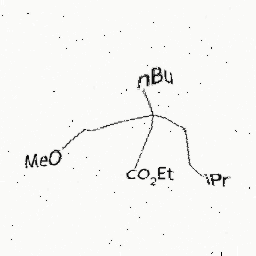 CCCCC(COC)(CC(C)C)C(=O)OCC